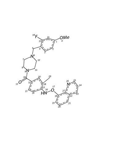 COc1ccc(CN2CCN(C(=O)c3ccc(NOc4cccc5cccnc45)c(C)c3)CC2)c(F)c1